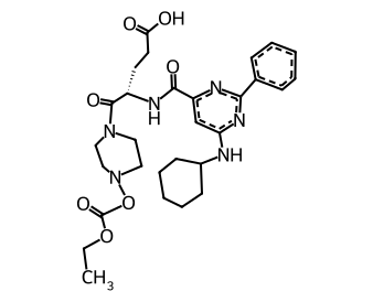 CCOC(=O)ON1CCN(C(=O)[C@H](CCC(=O)O)NC(=O)c2cc(NC3CCCCC3)nc(-c3ccccc3)n2)CC1